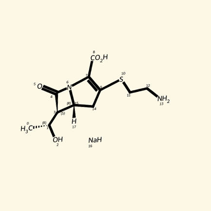 C[C@@H](O)[C@H]1C(=O)N2C(C(=O)O)=C(SCCN)C[C@H]12.[NaH]